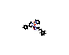 O=S(=O)(N1CCCCC1)N1CC[C@H](c2ccccc2)C[C@H]1c1nc(CCCc2ccccc2)no1